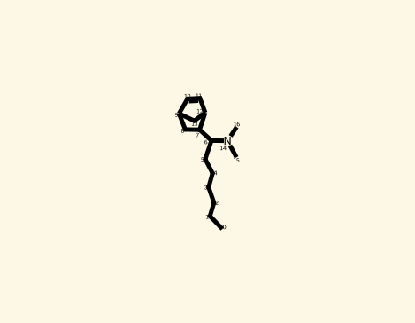 CCCCCCC(C1CC2C=CC1C2)N(C)C